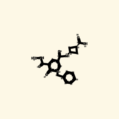 CNC(=O)c1cc(C(=O)N[C@H]2C[C@@H](C(=O)O)C2)cn(Cc2ccccc2)c1=O